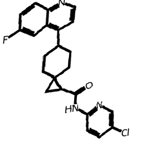 O=C(Nc1ccc(Cl)cn1)C1CC12CCC(c1ccnc3ccc(F)cc13)CC2